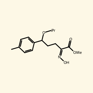 COC(=O)C(CCC(OC(C)C)c1ccc(C)cc1)=NO